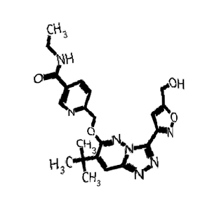 CCNC(=O)c1ccc(COc2nn3c(-c4cc(CO)on4)nnc3cc2C(C)(C)C)nc1